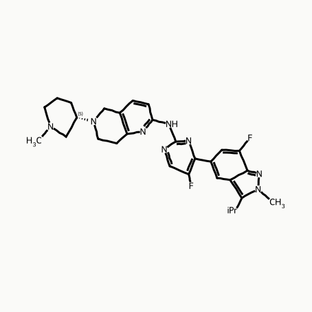 CC(C)c1c2cc(-c3nc(Nc4ccc5c(n4)CCN([C@H]4CCCN(C)C4)C5)ncc3F)cc(F)c2nn1C